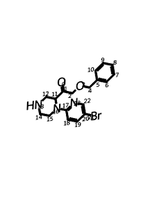 O=C(COCc1ccccc1)C1CNCCN1c1ccc(Br)cn1